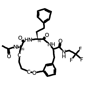 CC(=O)N[C@H]1CCCCOc2cccc(c2)CC(C(=O)NCC(F)(F)F)NC(=O)[C@H](CCc2ccccc2)NC1=O